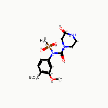 CCOC(=O)c1ccc(N(C(=O)N2CCNC(=O)C2)S(C)(=O)=O)cc1OCC